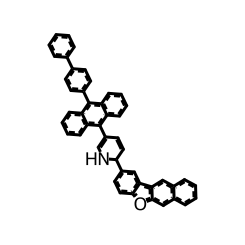 C1=CC(c2ccc3oc4cc5ccccc5cc4c3c2)NC=C1c1c2ccccc2c(-c2ccc(-c3ccccc3)cc2)c2ccccc12